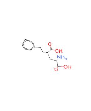 N[C@@H](CC(CCc1ccccc1)C(=O)O)C(=O)O